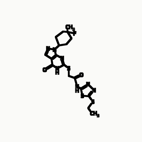 CCSc1nnc(NC(=O)CSc2nc3c(cnn3C3CCC(C)(F)CC3)c(=O)[nH]2)s1